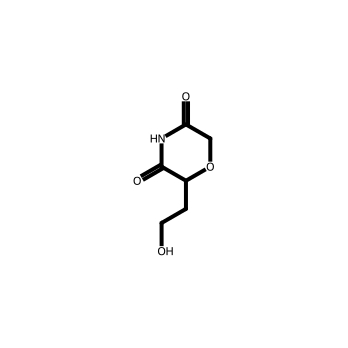 O=C1COC(CCO)C(=O)N1